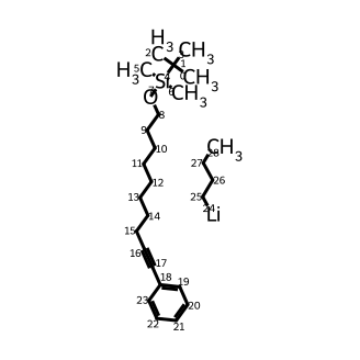 CC(C)(C)[Si](C)(C)OCCCCCCCCC#Cc1ccccc1.[Li][CH2]CCC